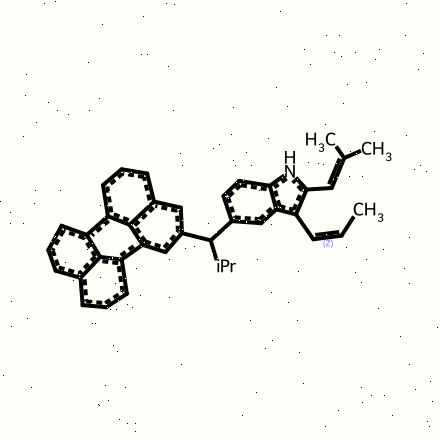 C/C=C\c1c(C=C(C)C)[nH]c2ccc(C(c3cc4cccc5c6cccc7cccc(c(c3)c45)c76)C(C)C)cc12